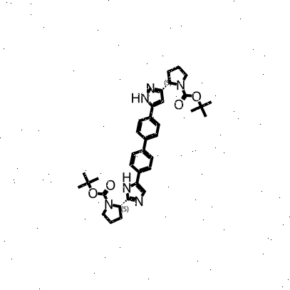 CC(C)(C)OC(=O)N1CCC[C@H]1c1cc(-c2ccc(-c3ccc(-c4cnc([C@@H]5CCCN5C(=O)OC(C)(C)C)[nH]4)cc3)cc2)[nH]n1